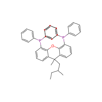 CCC(C)CC1(C)c2cccc(P(c3ccccc3)c3ccccc3)c2Oc2c(P(c3ccccc3)c3ccccc3)cccc21